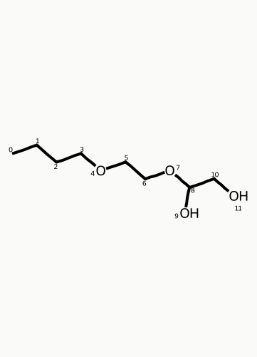 CCCCOCCOC(O)CO